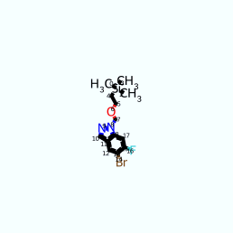 C[Si](C)(C)CCOCn1ncc2cc(Br)c(F)cc21